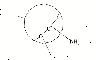 CC1CCCCC2CCCCCC(CC1)CC(C)CC(N)CC2